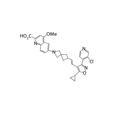 COc1cc(C(=O)O)nc2ccc(N3CC4(CC(C=Cc5c(-c6ccncc6Cl)noc5C5CC5)C4)C3)cc12